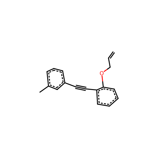 C=CCOc1ccccc1C#Cc1cccc(C)c1